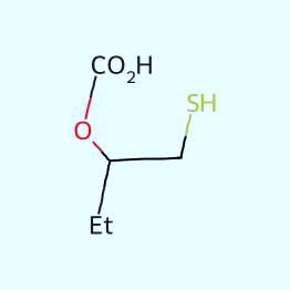 CCC(CS)OC(=O)O